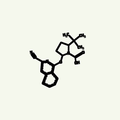 CC(C)(C)C1CCC(Oc2nc(C#N)cc3ccccc23)N1C(=O)O